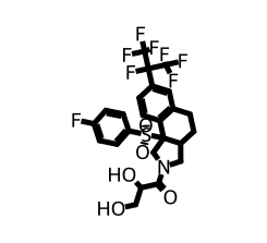 O=C(C(O)CO)N1CC2CCc3cc(C(F)(C(F)(F)F)C(F)(F)F)ccc3C2(S(=O)(=O)c2ccc(F)cc2)C1